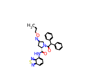 C=CCON=C1C[C@@H](C(=O)Nc2cccc3nsnc23)N(C(=O)C(c2ccccc2)c2ccccc2)C1